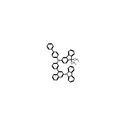 CC1(C)c2ccccc2-c2cc(N(c3ccc(-c4ccccc4)cc3)c3cccc(-c4cc(-n5c6ccccc6c6ccccc65)cc5ccccc45)c3)ccc21